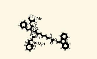 COC(=O)C(CC(C)C)NC(=O)C(Cc1ccccc1)NC(=O)C(CCCCNC(=O)OCC1c2ccccc2-c2ccccc21)NC(=O)[C@@H]1C[C@@H]2CCCC[C@@H]2N1C(=O)O